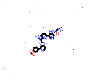 CN(C)CC(=O)Nc1cncc(-c2ccc3[nH]nc(-c4nc5c(-c6ccc7c(c6)OCO7)nccc5[nH]4)c3n2)c1